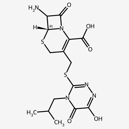 CC(C)Cn1c(SCC2=C(C(=O)O)N3C(=O)C(N)[C@H]3SC2)nnc(O)c1=O